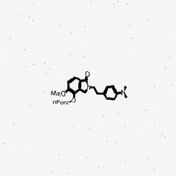 CCCCCOc1c(OC)ccc2c1CN(CCc1ccc(N(C)C)cc1)C2=O